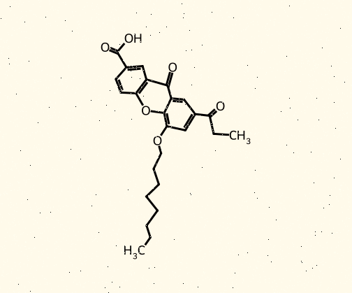 CCCCCCCCOc1cc(C(=O)CC)cc2c(=O)c3cc(C(=O)O)ccc3oc12